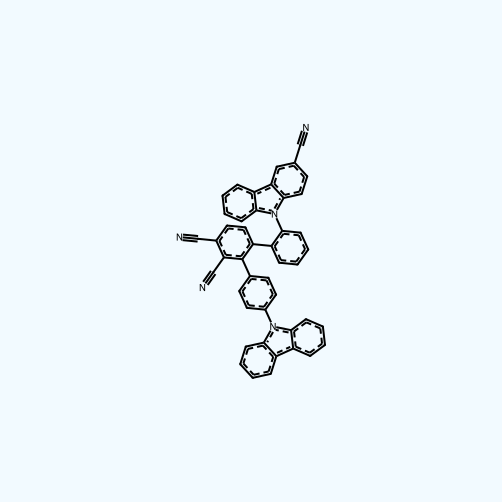 N#Cc1ccc2c(c1)c1ccccc1n2-c1ccccc1-c1ccc(C#N)c(C#N)c1-c1ccc(-n2c3ccccc3c3ccccc32)cc1